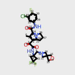 Cc1c(C(=O)C(=O)NC2(CN3CC4(COC4)C3)CC(F)(F)C2)c2n(c1C(=O)Nc1ccc(F)c(Cl)c1)CCC2